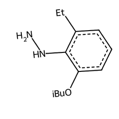 CCc1cccc(OCC(C)C)c1NN